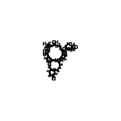 CO[C@@]1(CN2CCOC3(COC3)C2)/C=C/C[C@H](C)[C@@H](C)S(=O)(=O)NC(=O)c2ccc3c(c2)N(CCCCc2cc(Cl)ccc2CO3)C[C@@H]2CC[C@H]21